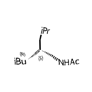 CC[C@@H](C)[C@@H](NC(C)=O)C(C)C